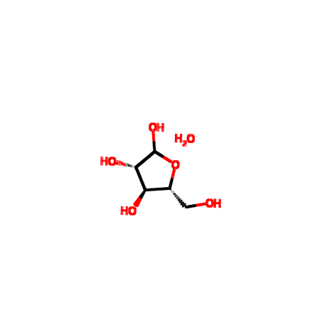 O.OC[C@H]1OC(O)[C@@H](O)[C@@H]1O